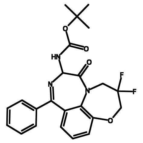 CC(C)(C)OC(=O)NC1N=C(c2ccccc2)c2cccc3c2N(CC(F)(F)CO3)C1=O